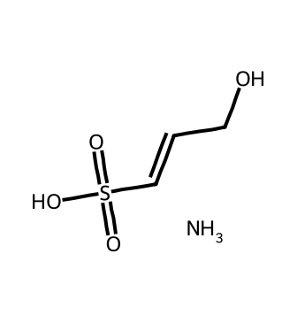 N.O=S(=O)(O)C=CCO